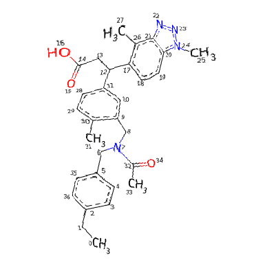 CCc1ccc(CN(Cc2cc(C(CC(=O)O)c3ccc4c(nnn4C)c3C)ccc2C)C(C)=O)cc1